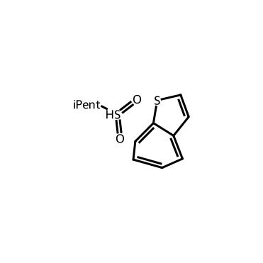 CCCC(C)[SH](=O)=O.c1ccc2sccc2c1